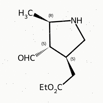 CCOC(=O)C[C@@H]1CN[C@H](C)[C@H]1C=O